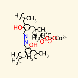 CC(=O)[O-].CC(=O)[O-].CC(C)Cc1cc(C=NCN=Cc2cc(CC(C)C)cc(CC(C)C)c2O)c(O)c(CC(C)C)c1.[Co+2]